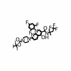 CC(C)(CC(F)(F)F)NC(=O)c1cn(-c2c(F)cc(F)cc2F)c2nc(N3CCN(C(=O)OC(I)(I)I)CC3)ccc2c1=O